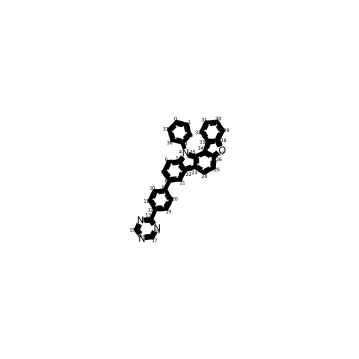 c1ccc(-n2c3ccc(-c4ccc(-c5ncncn5)cc4)cc3c3ccc4oc5ccccc5c4c32)cc1